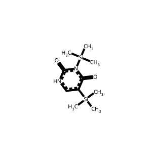 C[Si](C)(C)c1c[nH]c(=O)n([Si](C)(C)C)c1=O